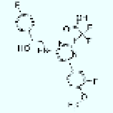 O=C(O)C(F)(F)F.O[C@@H](CNc1cc(-c2ccc(OC(F)(F)F)c(F)c2)ncn1)c1ccc(F)cc1